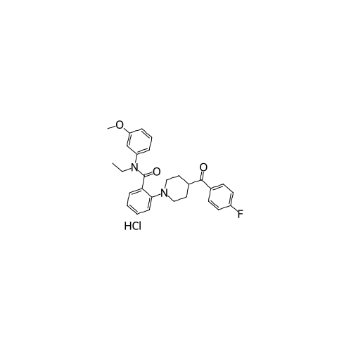 CCN(C(=O)c1ccccc1N1CCC(C(=O)c2ccc(F)cc2)CC1)c1cccc(OC)c1.Cl